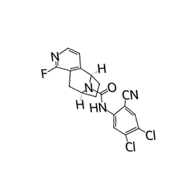 N#Cc1cc(Cl)c(Cl)cc1NC(=O)N1[C@H]2CC[C@@H]1c1ccnc(F)c1C2